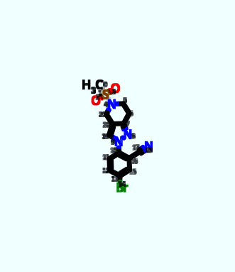 CS(=O)(=O)N1CCc2nn(-c3ccc(Br)cc3C#N)cc2C1